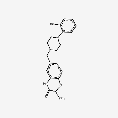 CC1Oc2ccc(CN3CCN(c4ccccc4O)CC3)cc2NC1=O